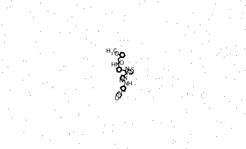 COc1ccccc1CC(=O)Nc1cccc(-c2nc3sccn3c2-c2ccnc(Nc3ccc(N4CCOCC4)cc3)n2)c1